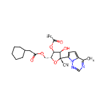 Cc1ncnn2c([C@]3(C#N)O[C@H](COC(=O)CC4CCCCC4)[C@@H](OC(=O)C(C)C)[C@H]3O)ccc12